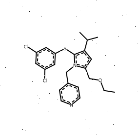 CCOCc1cc(C(C)C)c(Sc2cc(Cl)cc(Cl)c2)n1Cc1ccncc1